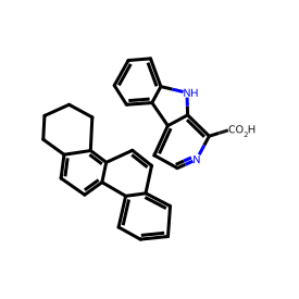 O=C(O)c1nccc2c1[nH]c1ccccc12.c1ccc2c(c1)ccc1c3c(ccc12)CCCC3